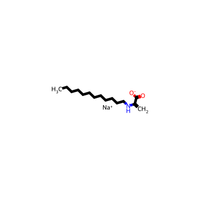 C=C(NCCCCCCCCCCCC)C(=O)[O-].[Na+]